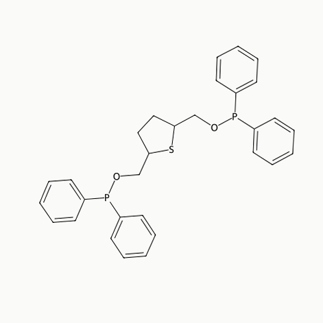 c1ccc(P(OCC2CCC(COP(c3ccccc3)c3ccccc3)S2)c2ccccc2)cc1